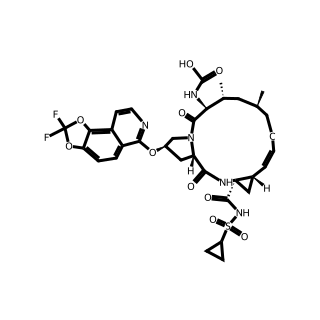 C[C@H]1CC/C=C\[C@@H]2C[C@@]2(C(=O)NS(=O)(=O)C2CC2)NC(=O)[C@@H]2C[C@@H](Oc3nccc4c5c(ccc34)OC(F)(F)O5)CN2C(=O)[C@@H](NC(=O)O)[C@H](C)C1